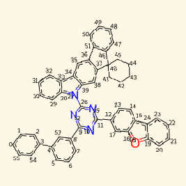 c1ccc(-c2cccc(-c3nc(-c4ccc5c(c4)oc4ccccc45)nc(-n4c5ccccc5c5cc6c(cc54)C4(CCCCC4)c4ccccc4-6)n3)c2)cc1